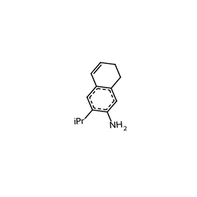 CC(C)c1cc2c(cc1N)CCC=C2